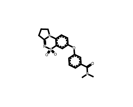 CN(C)C(=O)c1cccc(Oc2ccc3c(c2)S(=O)(=O)N=C2CCCN23)c1